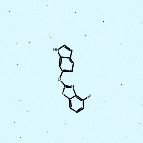 Fc1cccc2sc(Oc3ccc4cc[nH]c4c3)nc12